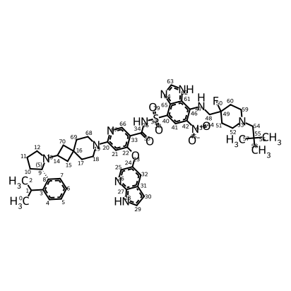 CC(C)c1ccccc1[C@@H]1CCCN1C1CC2(CCN(c3cc(Oc4cnc5[nH]ccc5c4)c(C(=O)NS(=O)(=O)c4cc([N+](=O)[O-])c(NCC5(F)CCN(CC(C)(C)C)CC5)c5[nH]cnc45)cn3)CC2)C1